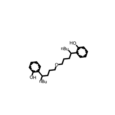 CCCCC(CCCOCCCC(CCCC)c1ccccc1O)c1ccccc1O